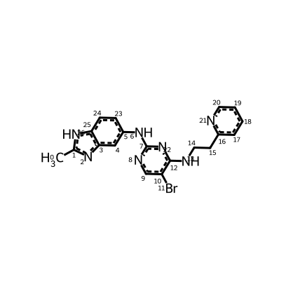 Cc1nc2cc(Nc3ncc(Br)c(NCCc4ccccn4)n3)ccc2[nH]1